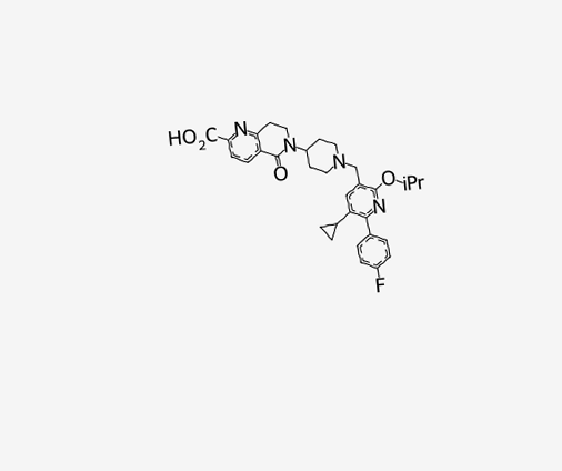 CC(C)Oc1nc(-c2ccc(F)cc2)c(C2CC2)cc1CN1CCC(N2CCc3nc(C(=O)O)ccc3C2=O)CC1